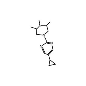 CC1CN(c2ncc(C3CC3)cn2)CC(C)N1C